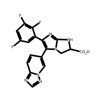 O=C(O)C1Cn2c(nc(-c3cc(F)cc(F)c3F)c2-c2ccc3ncnn3c2)N1